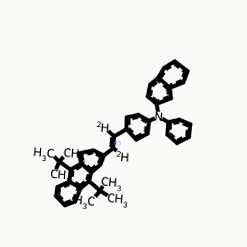 [2H]/C(=C(/[2H])c1ccc2c(C(C)(C)C)c3ccccc3c(C(C)(C)C)c2c1)c1ccc(N(c2ccccc2)c2ccc3ccccc3c2)cc1